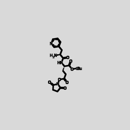 CC(C)(C)OC(=O)[C@H](CCC(=O)ON1C(=O)CCC1=O)NC(=O)[C@@H](N)Cc1cccnc1